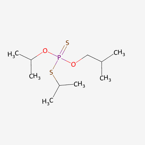 CC(C)COP(=S)(OC(C)C)SC(C)C